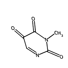 CN1C(=O)N=CC(=O)C1=O